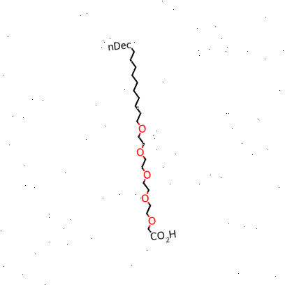 CCCCCCCCCCCCCCCCCCCCOCCOCCOCCOCCOCC(=O)O